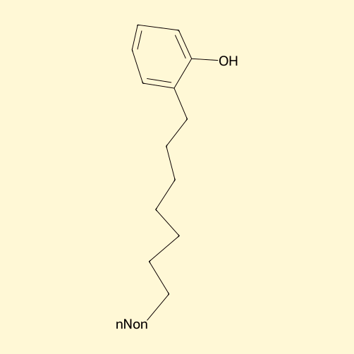 CCCCCCCCCCCCCCCCc1ccccc1O